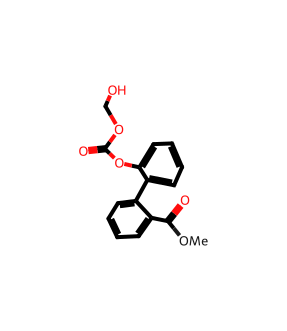 COC(=O)c1ccccc1-c1ccccc1OC(=O)OCO